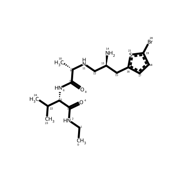 CCNC(=O)[C@@H](NC(=O)[C@H](C)NC[C@@H](N)Cc1ccc(Br)s1)C(C)C